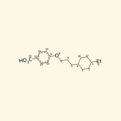 CCC1CCC(CCCOc2ccc(C(=O)O)cc2)CC1